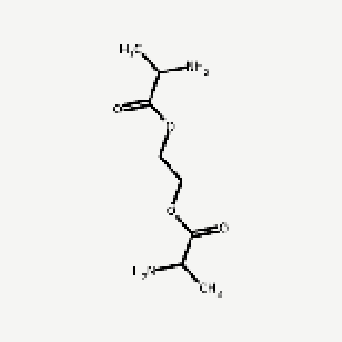 CC(N)C(=O)OCCOC(=O)C(C)N